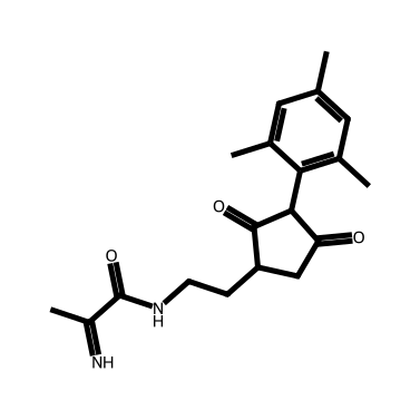 CC(=N)C(=O)NCCC1CC(=O)C(c2c(C)cc(C)cc2C)C1=O